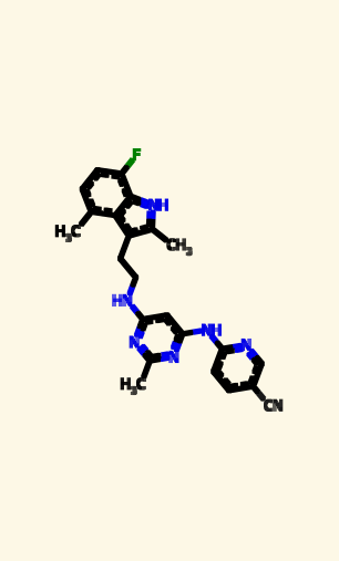 Cc1nc(NCCc2c(C)[nH]c3c(F)ccc(C)c23)cc(Nc2ccc(C#N)cn2)n1